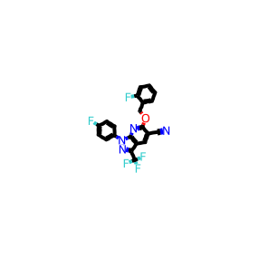 N#Cc1cc2c(C(F)(F)F)nn(-c3ccc(F)cc3)c2nc1OCc1ccccc1F